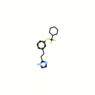 FC(F)(Sc1cccc(CCc2ncc[nH]2)c1)C1CCCCC1